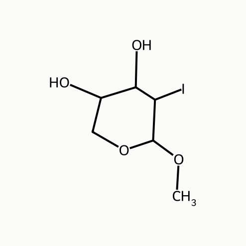 COC1OCC(O)C(O)C1I